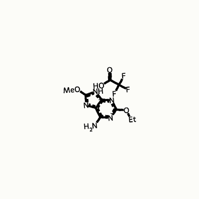 CCOc1nc(N)c2nc(OC)[nH]c2n1.O=C(O)C(F)(F)F